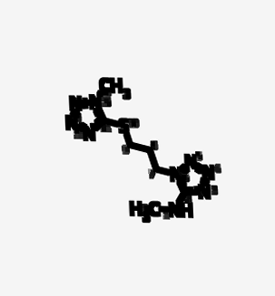 CNc1nnnn1CCCSc1nnnn1C